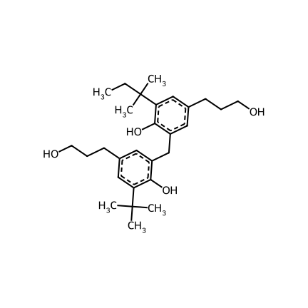 CCC(C)(C)c1cc(CCCO)cc(Cc2cc(CCCO)cc(C(C)(C)C)c2O)c1O